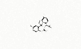 CCC1(c2cccc(F)c2)c2cc(Cl)ccc2NC(=O)N1CC(F)(F)F